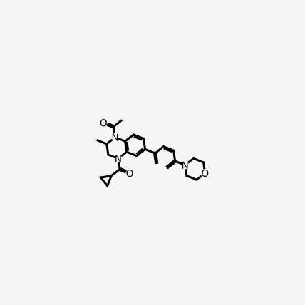 C=C(/C=C\C(=C)N1CCOCC1)c1ccc2c(c1)N(C(=O)C1CC1)CC(C)N2C(C)=O